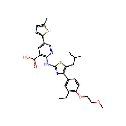 CCc1cc(-c2nc(Nc3ncc(-c4ccc(C)s4)cc3C(=O)O)sc2CC(C)C)ccc1OCCOC